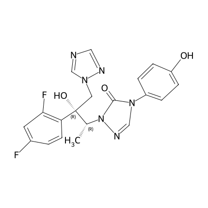 C[C@@H](n1ncn(-c2ccc(O)cc2)c1=O)[C@](O)(Cn1cncn1)c1ccc(F)cc1F